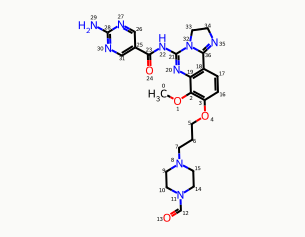 COc1c(OCCCN2CCN(C=O)CC2)ccc2c1N=C(NC(=O)c1cnc(N)nc1)N1CCN=C21